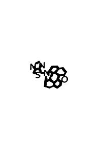 C1=CC2Oc3ccc4c5c3c2c2c1ccc1c2c5c(n1-c1scc2nccnc12)=CC4